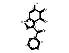 O=C1C(=O)c2c(C(=O)c3ccccc3)coc2C=C1F